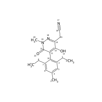 CCc1cc(C)cc(CC)c1-c1c(O)c(CC#N)nn(C)c1=O